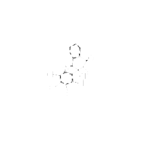 O=C1c2ccccc2C(=O)C(Cl)(c2c(Cl)c(Cl)c(Cl)c(Cl)c2Cl)C1Cl